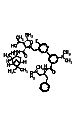 C[C@@H]1[C@@H](NC(=O)[C@@H]2[C@H]([C@H](C)O)C(N)ON2Cc2cc(-c3cc(C(=O)N[C@@H](Cc4ccccc4)CN(C)C)cc(N(C)C)c3)ccc2F)C[C@H]2C[C@@H]1C2(C)C